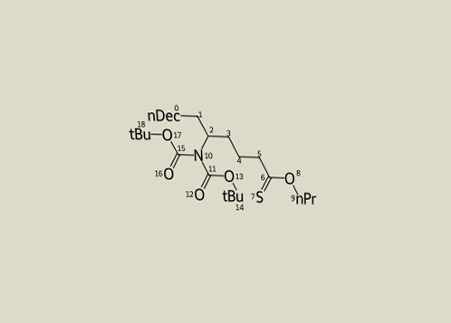 CCCCCCCCCCCC(CCCC(=S)OCCC)N(C(=O)OC(C)(C)C)C(=O)OC(C)(C)C